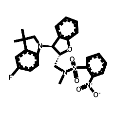 CN(C[C@H]1Oc2ccccc2[C@@H]1N1CC(C)(C)c2cc(F)ccc21)S(=O)(=O)c1ccccc1[N+](=O)[O-]